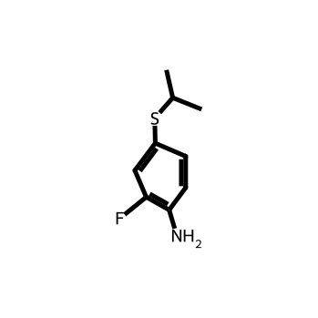 CC(C)Sc1ccc(N)c(F)c1